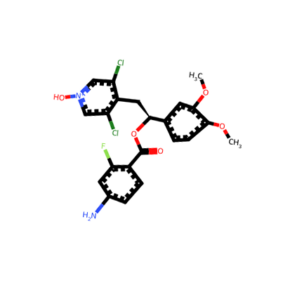 COc1ccc([C@H](Cc2c(Cl)c[n+](O)cc2Cl)OC(=O)c2ccc(N)cc2F)cc1OC